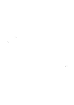 Cc1cc(-c2cn3ccsc3n2)ccc1OCc1ccc([N+](=O)[O-])cc1